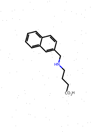 O=C(O)CCCNCc1ccc2ccccc2c1